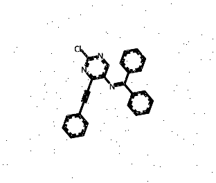 Clc1ncc(N=C(c2ccccc2)c2ccccc2)c(C#Cc2ccccc2)n1